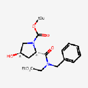 CCOC(=O)CN(Cc1ccccc1)C(=O)[C@@H]1C[C@@H](O)CN1C(=O)OC(C)(C)C